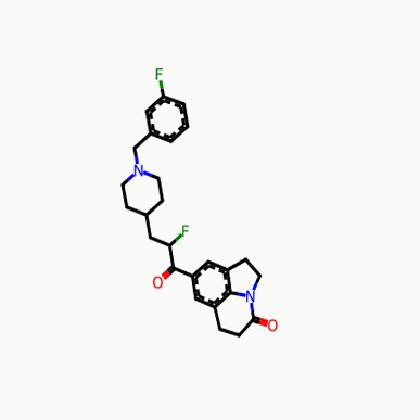 O=C(c1cc2c3c(c1)CCN3C(=O)CC2)C(F)CC1CCN(Cc2cccc(F)c2)CC1